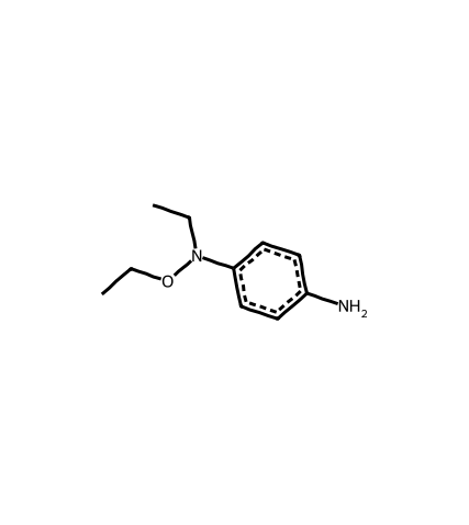 CCON(CC)c1ccc(N)cc1